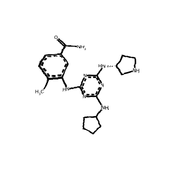 Cc1ccc(C(N)=O)cc1Nc1nc(NC2CCCC2)nc(N[C@@H]2CCNC2)n1